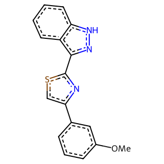 COc1cccc(-c2csc(-c3n[nH]c4ccccc34)n2)c1